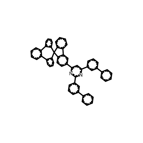 c1ccc(-c2cccc(-c3cc(-c4ccc5c(c4)-c4ccccc4C54c5ccccc5-c5ccccc5-c5ccccc54)nc(-c4cccc(-c5ccccc5)c4)n3)c2)cc1